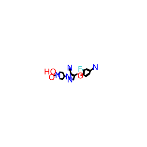 N#Cc1ccc(OCc2cnn(C3CCN(C(=O)O)CC3)c2C#N)c(F)c1